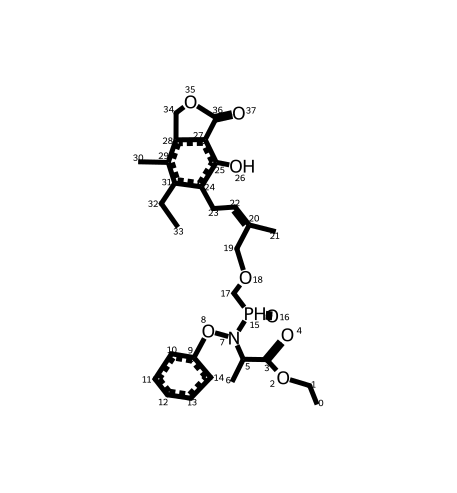 CCOC(=O)C(C)N(Oc1ccccc1)[PH](=O)COCC(C)=CCc1c(O)c2c(c(C)c1CC)COC2=O